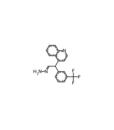 NN=CC(c1cccc(C(F)(F)F)c1)c1ccnc2ccccc12